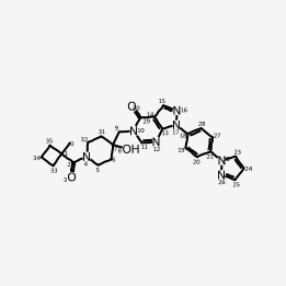 CC1(C(=O)N2CCC(O)(Cn3cnc4c(cnn4-c4ccc(-n5cccn5)cc4)c3=O)CC2)CCC1